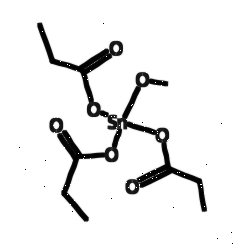 CCC(=O)[O][Sn]([O]C)([O]C(=O)CC)[O]C(=O)CC